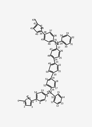 Cc1ccc(-c2ccc(N(c3ccccc3)c3ccc(-c4ccc(-c5ccc(N(c6ccccc6)c6ccc(-c7ccc(C)s7)cc6)cc5)cc4)cc3)cc2)s1